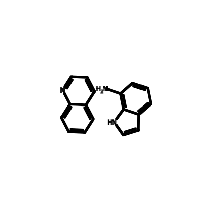 Nc1cccc2cc[nH]c12.c1ccc2ncccc2c1